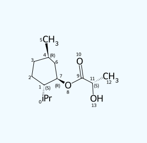 CC(C)[C@@H]1CC[C@@H](C)C[C@H]1OC(=O)[C@H](C)O